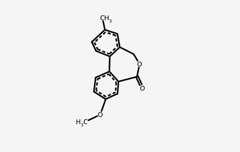 COc1ccc2c(c1)C(=O)OCc1cc(C)ccc1-2